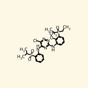 CCP(=O)(CC)c1cccc(Nc2nnc(Cl)c(Nc3ccccc3S(=O)(=O)C(C)C)n2)c1OC